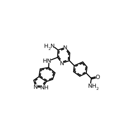 NC(=O)c1ccc(-c2cnc(N)c(Nc3ccc4[nH]ncc4c3)n2)cc1